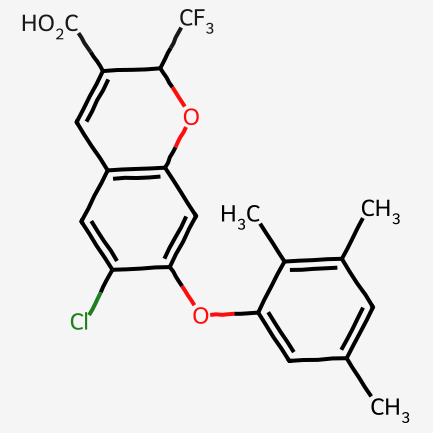 Cc1cc(C)c(C)c(Oc2cc3c(cc2Cl)C=C(C(=O)O)C(C(F)(F)F)O3)c1